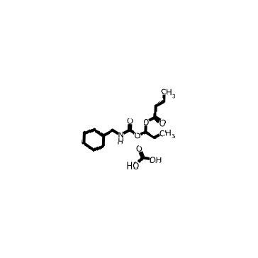 CCCC(=O)OC(CC)OC(=O)NCC1CCCCC1.O=C(O)O